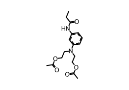 CCC(=O)Nc1cccc(N(CCOC(C)=O)CCOC(C)=O)c1